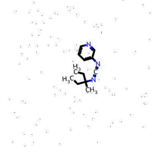 CCC(C)(CC)N=C=Nc1cccnc1